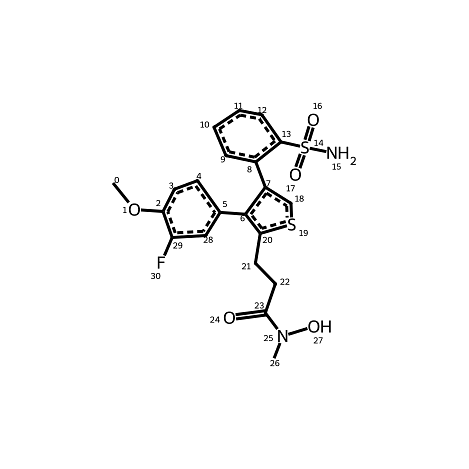 COc1ccc(-c2c(-c3ccccc3S(N)(=O)=O)csc2CCC(=O)N(C)O)cc1F